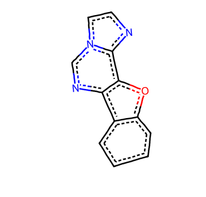 c1ccc2c(c1)oc1c2ncn2ccnc12